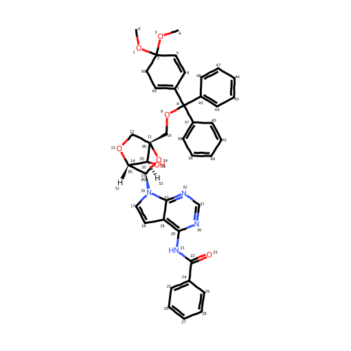 COC1(OC)C=CC(C(OC[C@@]23CO[C@@H]([C@H](n4ccc5c(NC(=O)c6ccccc6)ncnc54)O2)[C@@H]3O)(c2ccccc2)c2ccccc2)=CC1